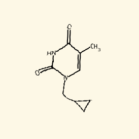 Cc1cn(CC2[CH]C2)c(=O)[nH]c1=O